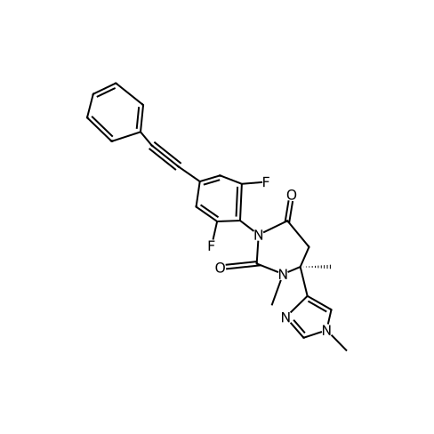 CN1C(=O)N(c2c(F)cc(C#Cc3ccccc3)cc2F)C(=O)C[C@@]1(C)c1cn(C)cn1